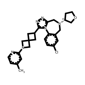 Cc1ccnc(N2CC3(CC(c4nnc5n4-c4ccc(Cl)cc4CN([C@@H]4CCOC4)C5)C3)C2)c1